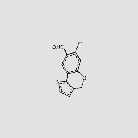 O=Cc1cc2c(cc1Cl)OCc1ccsc1-2